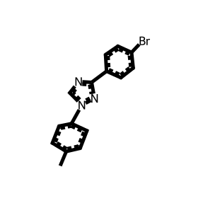 Cc1ccc(-n2cnc(-c3ccc(Br)cc3)n2)cc1